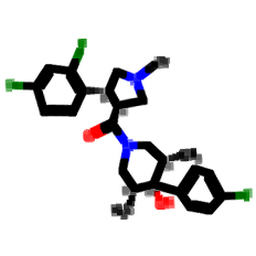 CC(C)N1C[C@@H](C(=O)N2C[C@@H](C)[C@](O)(c3ccc(F)cc3)[C@@H](C)C2)[C@H](c2ccc(F)cc2F)C1